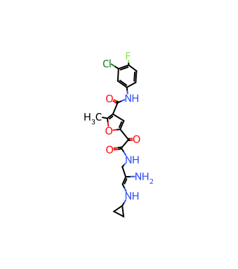 Cc1oc(C(=O)C(=O)NC/C(N)=C/NC2CC2)cc1C(=O)Nc1ccc(F)c(Cl)c1